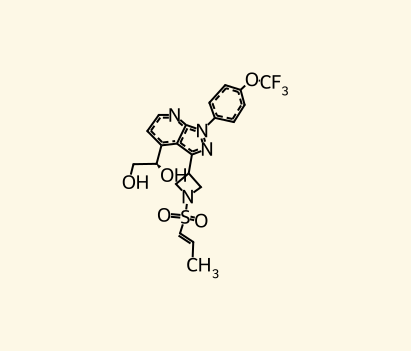 C/C=C/S(=O)(=O)N1CC(c2nn(-c3ccc(OC(F)(F)F)cc3)c3nccc([C@@H](O)CO)c23)C1